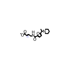 COC(=O)/C=C/CNC(=O)c1ccc(C(C)N2CCCCC2)o1